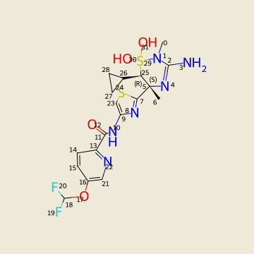 CN1C(N)=N[C@](C)(c2nc(NC(=O)c3ccc(OC(F)F)cn3)cs2)[C@@H](C2CC2)S1(O)O